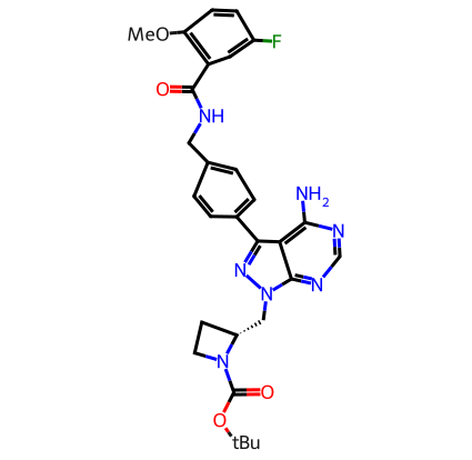 COc1ccc(F)cc1C(=O)NCc1ccc(-c2nn(C[C@H]3CCN3C(=O)OC(C)(C)C)c3ncnc(N)c23)cc1